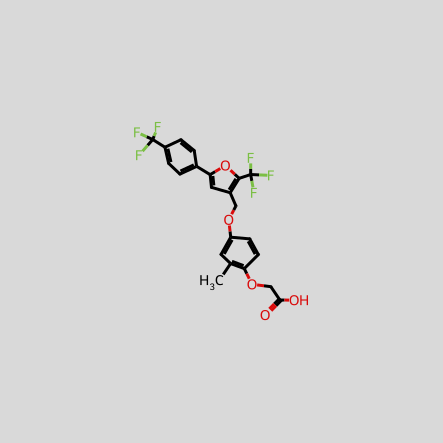 Cc1cc(OCc2cc(-c3ccc(C(F)(F)F)cc3)oc2C(F)(F)F)ccc1OCC(=O)O